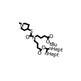 CCCCCCCC(CCCCCCC)OC(=O)CCCN(CCCC(=O)OC(C)(C)C)C(=O)SC1CCN(C)CC1